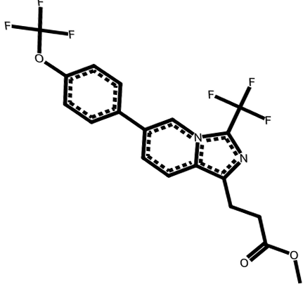 COC(=O)CCc1nc(C(F)(F)F)n2cc(-c3ccc(OC(F)(F)F)cc3)ccc12